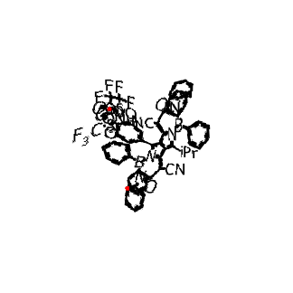 CC(C)c1c2/c(=C(\C#N)c3nc4ccccc4o3)n(B(c3ccccc3)c3ccccc3)c(-c3ccc(OS(=O)(=O)C(F)(F)C(F)(F)S(=O)(=O)NS(=O)(=O)C(F)(F)F)cc3)c2/c(=C(\C#N)c2nc3ccccc3o2)n1B(c1ccccc1)c1ccccc1